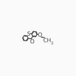 C=CCOc1ccc2sc3ccccc3c(=O)c2c1